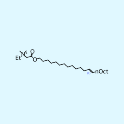 CCCCCCCC/C=C/CCCCCCCCCCCCOC(=O)C[N+](C)(C)CC